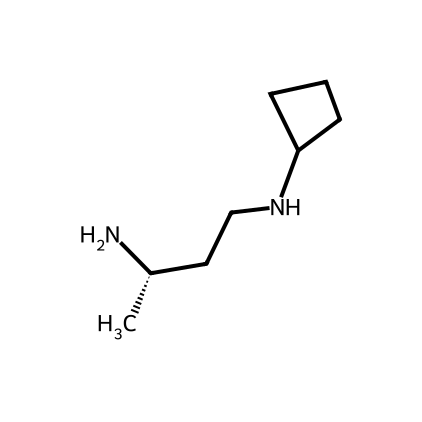 C[C@H](N)CCNC1CCC1